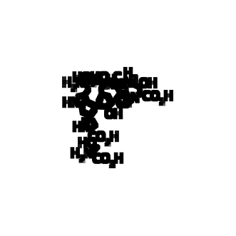 CC(O)C(N)C(=O)O.NC(CO)C(=O)O.NC(Cc1c[nH]c2ccccc12)C(=O)O.NC(Cc1ccc(O)cc1)C(=O)O.NC(Cc1ccccc1)C(=O)O.O=C(O)[C@@H]1CCCN1